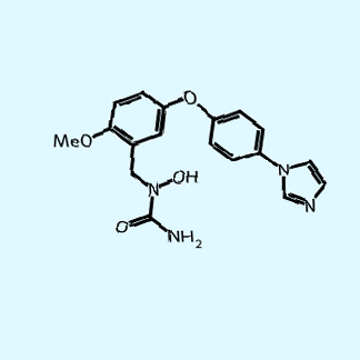 COc1ccc(Oc2ccc(-n3ccnc3)cc2)cc1CN(O)C(N)=O